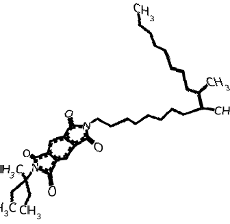 CCCCCCCCC(C)C(C)CCCCCCCCn1c(=O)c2cc3c(=O)n(C(C)(CC)CC)c(=O)c3cc2c1=O